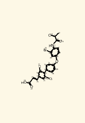 CC(Cl)C(=O)Nc1ccc(Oc2ccc(-c3c(Cl)cc(C=CC(=O)O)cc3Cl)cc2)cc1Br